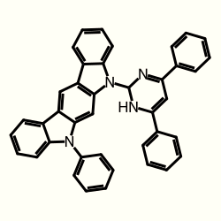 C1=C(c2ccccc2)NC(n2c3ccccc3c3cc4c5ccccc5n(-c5ccccc5)c4cc32)N=C1c1ccccc1